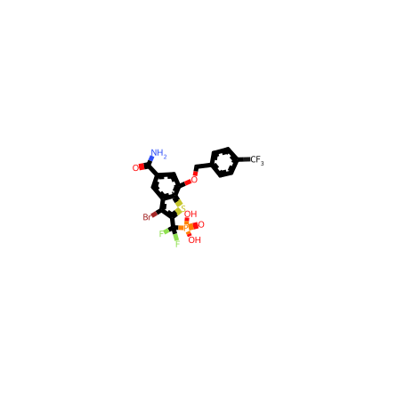 NC(=O)c1cc(OCc2ccc(C(F)(F)F)cc2)c2sc(C(F)(F)P(=O)(O)O)c(Br)c2c1